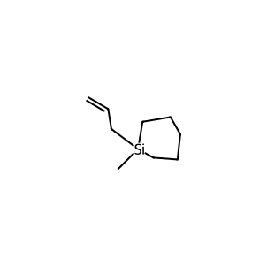 C=CC[Si]1(C)CCCCC1